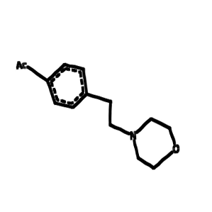 CC(=O)c1ccc(CCN2CCOCC2)cc1